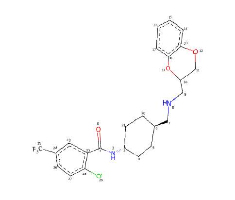 O=C(N[C@H]1CC[C@H](CNCC2COc3ccccc3O2)CC1)c1cc(C(F)(F)F)ccc1Cl